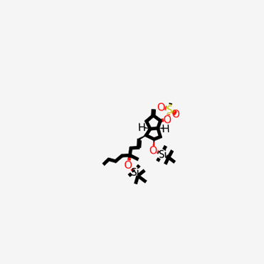 C=C1C[C@@H]2[C@H](/C=C/CC(C)(CCCC)O[Si](C)(C)C(C)(C)C)[C@H](O[Si](C)(C)C(C)(C)C)C[C@@H]2C1OS(C)(=O)=O